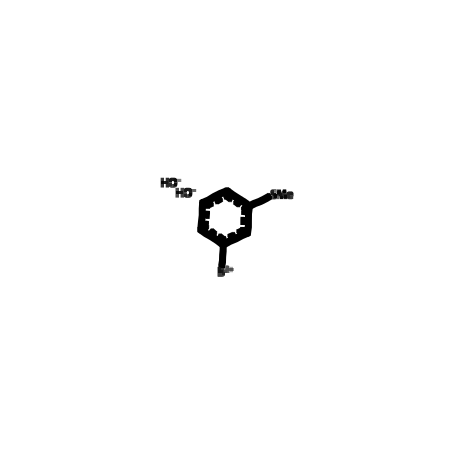 [B+2]c1cccc(SC)c1.[OH-].[OH-]